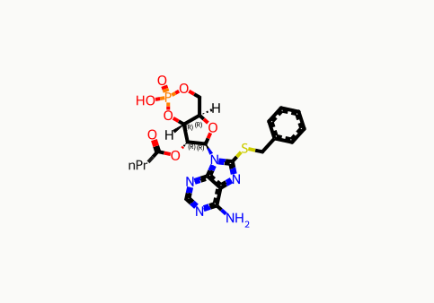 CCCC(=O)O[C@@H]1[C@@H]2OP(=O)(O)OC[C@H]2O[C@H]1n1c(SCc2ccccc2)nc2c(N)ncnc21